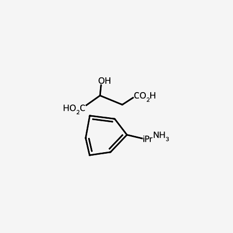 CC(C)c1ccccc1.N.O=C(O)CC(O)C(=O)O